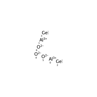 [Al+3].[Al+3].[Ge].[Ge].[O-2].[O-2].[O-2]